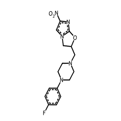 O=[N+]([O-])c1cn2c(n1)OC(CN1CCN(c3ccc(F)cc3)CC1)C2